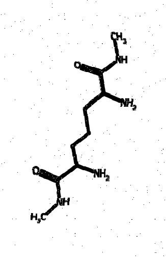 CNC(=O)C(N)CCCC(N)C(=O)NC